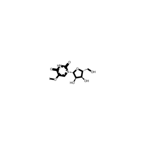 O=c1[nH]c(=O)n([C@@H]2O[C@H](CO)[C@@H](O)[C@H]2O)cc1OI